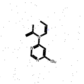 C=C(C)N(/C=C\C)c1cc(C(C)(C)C)ncn1